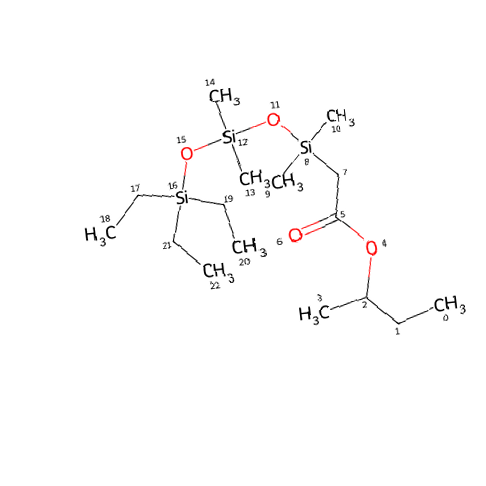 CCC(C)OC(=O)C[Si](C)(C)O[Si](C)(C)O[Si](CC)(CC)CC